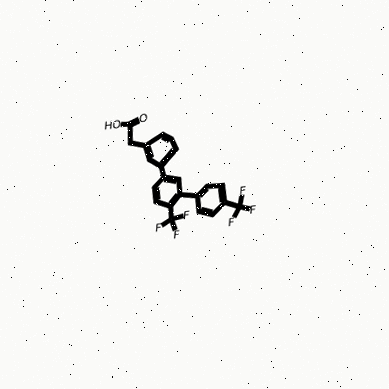 O=C(O)Cc1cccc(-c2ccc(C(F)(F)F)c(-c3ccc(C(F)(F)F)cc3)c2)c1